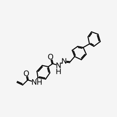 C=CC(=O)Nc1ccc(C(=O)NN=Cc2ccc(-c3ccccc3)cc2)cc1